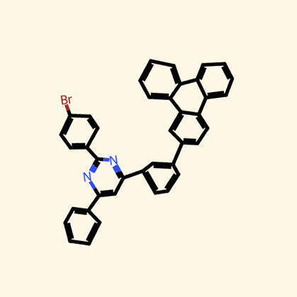 Brc1ccc(-c2nc(-c3ccccc3)cc(-c3cccc(-c4ccc5c6ccccc6c6ccccc6c5c4)c3)n2)cc1